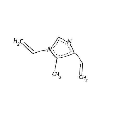 C=Cc1ncn(C=C)c1C